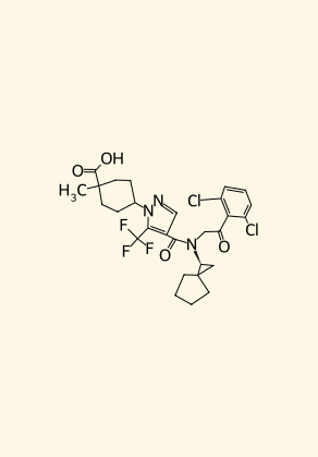 CC1(C(=O)O)CCC(n2ncc(C(=O)N(CC(=O)c3c(Cl)cccc3Cl)[C@H]3CC34CCCC4)c2C(F)(F)F)CC1